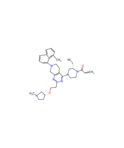 C=CC(=O)N1CCN(c2nc(CCO[C@@H]3CCN(C)C3)nc3c2CCN(c2cccc4cccc(C)c24)C3)C[C@@H]1CC#N